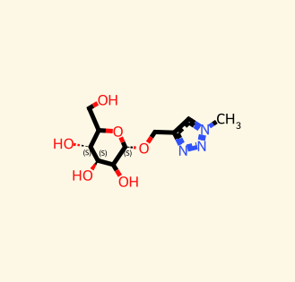 Cn1cc(CO[C@H]2OC(CO)[C@@H](O)[C@H](O)C2O)nn1